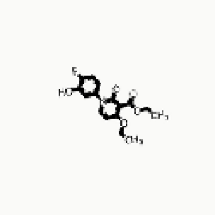 CCOC(=O)c1c(OCC)ccn(-c2ccc(F)c(O)c2)c1=O